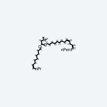 CCC/C=C\CCCCCCCOC(CN(C)C)OCCCCCCCC/C=C\C/C=C\CCCCC